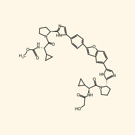 COC(=O)N[C@H](C(=O)N1CCC[C@H]1c1ncc(-c2ccc(-c3cc4cc(-c5cnc([C@@H]6CCCN6C(=O)[C@@H](NC(=O)CO)C6CC6)[nH]5)ccc4o3)cc2)[nH]1)C1CC1